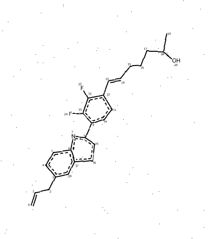 C=CCc1ccc2nc(-c3ccc(/C=C/CCCC(C)O)c(F)c3F)ccc2c1